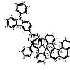 c1ccc(-c2nc(-c3ccc4c(c3)c3ccccc3n4-c3ccccc3)nc(-c3cccc4c3C3(c5ccccc5-c5ccccc53)c3ccc5ccc6ccccc6c5c3-4)n2)cc1